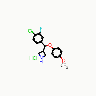 Cl.Fc1cc(C(Oc2ccc(OC(F)(F)F)cc2)C2CNC2)ccc1Cl